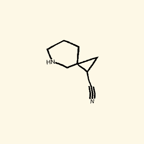 N#CC1CC12CCCNC2